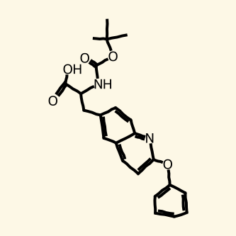 CC(C)(C)OC(=O)NC(Cc1ccc2nc(Oc3ccccc3)ccc2c1)C(=O)O